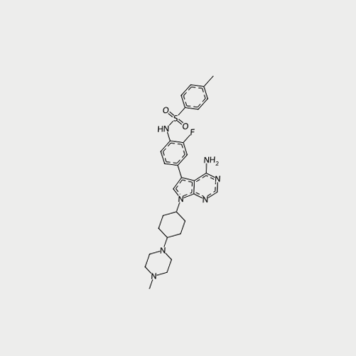 Cc1ccc(S(=O)(=O)Nc2ccc(-c3cn(C4CCC(N5CCN(C)CC5)CC4)c4ncnc(N)c34)cc2F)cc1